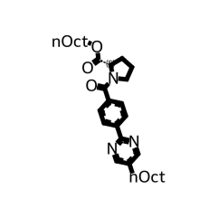 CCCCCCCCOC(=O)[C@@H]1CCCN1C(=O)c1ccc(-c2ncc(CCCCCCCC)cn2)cc1